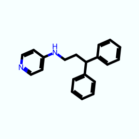 c1ccc(C(CCNc2ccncc2)c2ccccc2)cc1